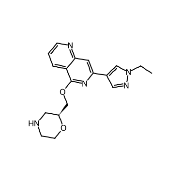 CCn1cc(-c2cc3ncccc3c(OC[C@@H]3CNCCO3)n2)cn1